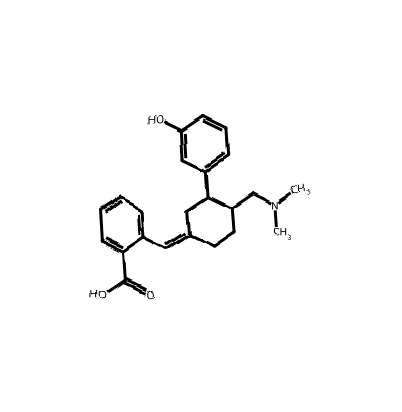 CN(C)CC1CCC(=Cc2ccccc2C(=O)O)CC1c1cccc(O)c1